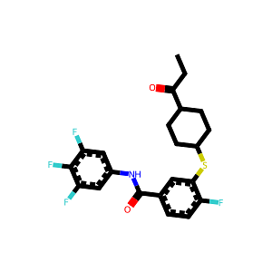 CCC(=O)C1CCC(Sc2cc(C(=O)Nc3cc(F)c(F)c(F)c3)ccc2F)CC1